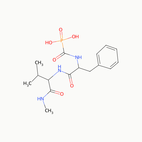 CNC(=O)C(NC(=O)C(Cc1ccccc1)NC(=O)P(=O)(O)O)C(C)C